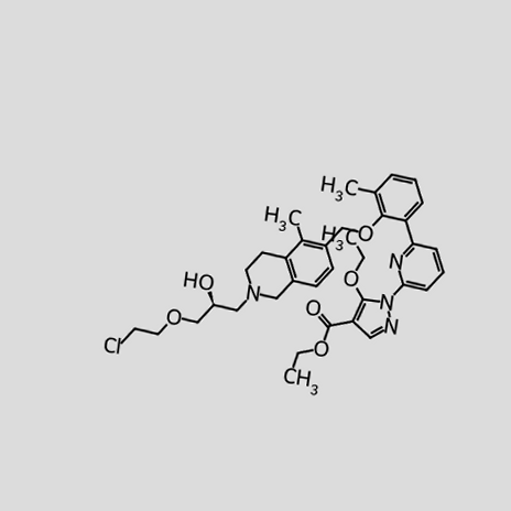 CCOC(=O)c1cnn(-c2cccc(-c3cccc(C)c3OCc3ccc4c(c3C)CCN(C[C@H](O)COCCCl)C4)n2)c1OCC